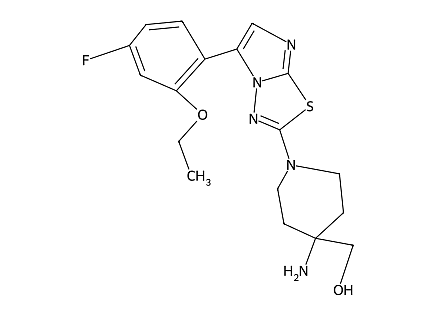 CCOc1cc(F)ccc1-c1cnc2sc(N3CCC(N)(CO)CC3)nn12